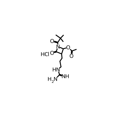 CC(=O)OC1C(CCCNC(=N)N)C(=O)N1C(=O)C(C)(C)C.Cl